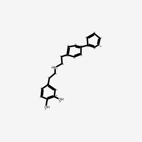 Oc1ccc(CCNCCc2ccc(-c3ccccc3)cc2)cc1O